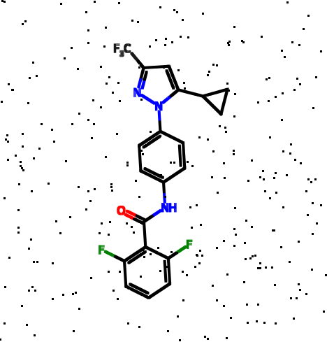 O=C(Nc1ccc(-n2nc(C(F)(F)F)cc2C2CC2)cc1)c1c(F)cccc1F